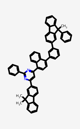 CC1(C)c2ccccc2-c2ccc(-c3cc(-c4ccc(-c5cccc(-c6ccc7c(c6)C(C)(c6ccccc6)c6ccccc6-7)c5)c5ccccc45)nc(-c4ccccc4)n3)cc21